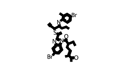 C#CC(SC(=C)c1nc2cc(Br)ccc2n1C(=O)C(CC)C/C=C(\C)C(C)=O)/C(CCC)=N/c1ccc(Br)cc1C